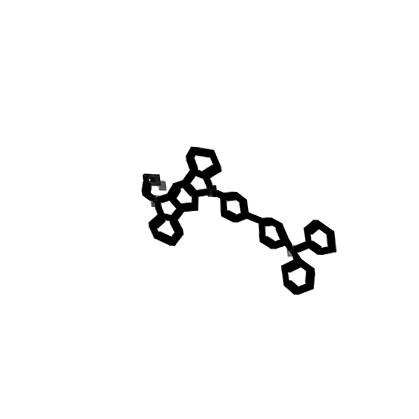 C=Cn1c2ccccc2c2cc3c(cc21)c1ccccc1n3-c1ccc(-c2ccc(N(c3ccccc3)c3ccccc3)cc2)cc1